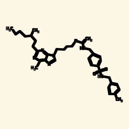 C=C(NCc1ccc(S(=O)(=O)NCc2ccc(C)cc2)cc1)OCCCCn1cnc2c(C)nc(CCC(C)CCCC)nc21